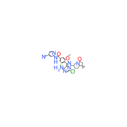 CCOc1cc(C(=O)Nc2cc(C#N)ccn2)cc(F)c1-c1nc(C2CCC3N(C2)C(=O)CC32CC2)n2c(Cl)cnc(N)c12